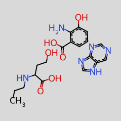 CCCNC(CCO)C(=O)O.Nc1c(O)cccc1C(=O)O.c1ncc2[nH]cnc2n1